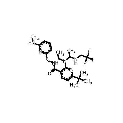 CCN(c1nc(C(C)(C)C)ccc1C(=O)NSc1cccc(NC)n1)C(C)NCC(F)(F)F